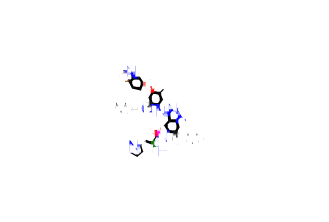 COc1cc2ncnc(Nc3cc(C)c(Oc4ccc5scnc5c4)cc3OC)c2cc1NC(=O)/C(F)=C/[C@H]1CCCN1C